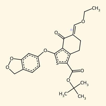 CCO/C=C1\CCc2c(C(=O)OC(C)(C)C)sc(Oc3ccc4c(c3)OOC4)c2C1=O